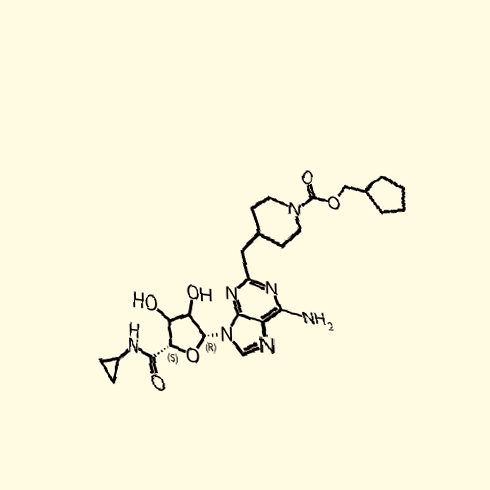 Nc1nc(CC2CCN(C(=O)OCC3CCCC3)CC2)nc2c1ncn2[C@@H]1O[C@H](C(=O)NC2CC2)C(O)C1O